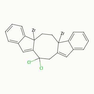 ClC1(Cl)CC2=Cc3ccccc3[C]2([Zr])CC[C]2([Zr])C1=Cc1ccccc12